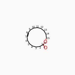 O=C1CCCCCC=CCCCCCCCO1